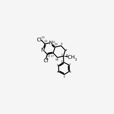 C[C@]1(c2ccccc2)CCc2nc(Cl)nc(Cl)c2C1